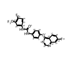 O=C(Nc1ccc(Oc2ncnc3cc(F)ccc23)cc1)Nc1ccc(F)c(C(F)(F)F)c1